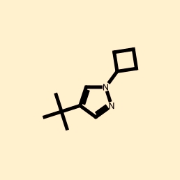 CC(C)(C)c1cnn(C2CCC2)c1